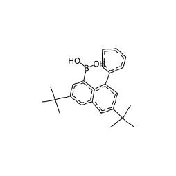 CC(C)(C)c1cc(B(O)O)c2c(-c3ccccc3)cc(C(C)(C)C)cc2c1